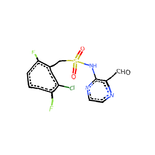 O=Cc1nccnc1NS(=O)(=O)Cc1c(F)ccc(F)c1Cl